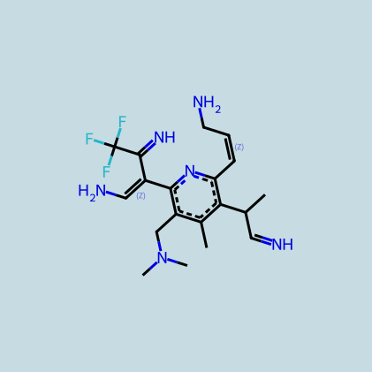 Cc1c(CN(C)C)c(/C(=C/N)C(=N)C(F)(F)F)nc(/C=C\CN)c1C(C)C=N